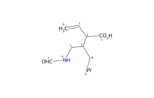 C=CC(C(=O)O)C(CNC=O)CC(C)C